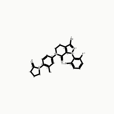 CC(=O)c1nn(-c2c(F)cccc2F)c2c1CCN(c1ccc(N3CCCC3=O)c(C)c1)C2=O